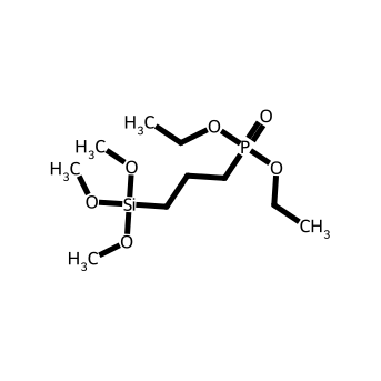 CCOP(=O)(CCC[Si](OC)(OC)OC)OCC